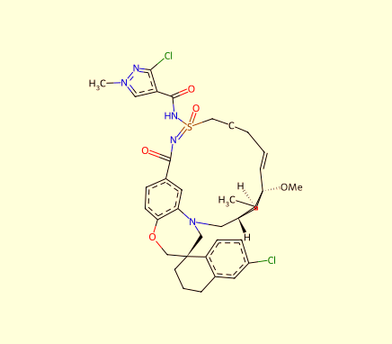 CO[C@@]12/C=C/CCCS(=O)(NC(=O)c3cn(C)nc3Cl)=NC(=O)c3ccc4c(c3)N(C[C@H](C1)[C@H]2C)C[C@@]1(CCCc2cc(Cl)ccc21)CO4